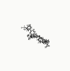 CCOc1cncc(C2=CC(C(F)(F)F)C(CCCc3ccnc(NS(=O)(=O)C4CC4)n3)(C(N)=O)C=C2)n1